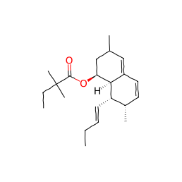 CC/C=C/[C@@H]1[C@@H]2C(=CC(C)C[C@@H]2OC(=O)C(C)(C)CC)C=C[C@@H]1C